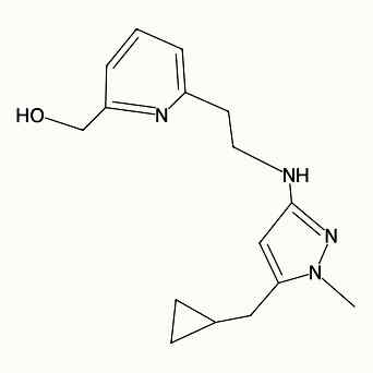 Cn1nc(NCCc2cccc(CO)n2)cc1CC1CC1